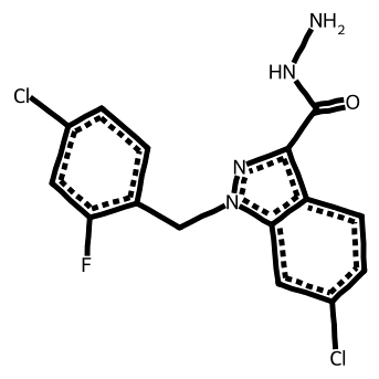 NNC(=O)c1nn(Cc2ccc(Cl)cc2F)c2cc(Cl)ccc12